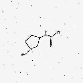 CC(C)C(=O)NC1CCN(C(C)C)C1